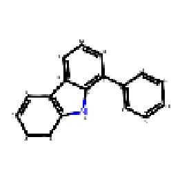 C1=Cc2c([nH]c3c(-c4ccccc4)cccc23)CC1